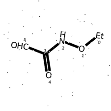 CCONC(=O)C=O